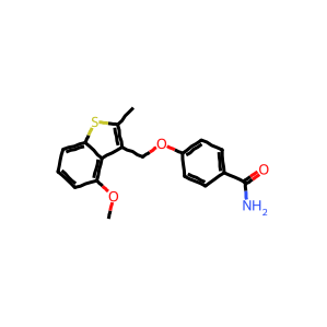 COc1cccc2sc(C)c(COc3ccc(C(N)=O)cc3)c12